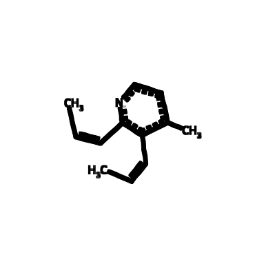 C/C=C\c1nccc(C)c1/C=C\C